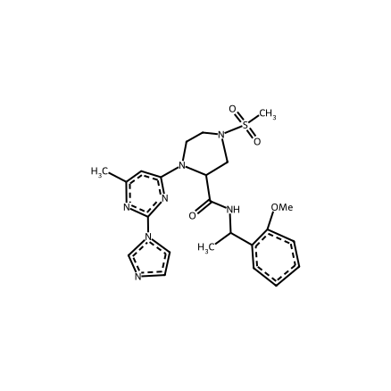 COc1ccccc1C(C)NC(=O)C1CN(S(C)(=O)=O)CCN1c1cc(C)nc(-n2ccnc2)n1